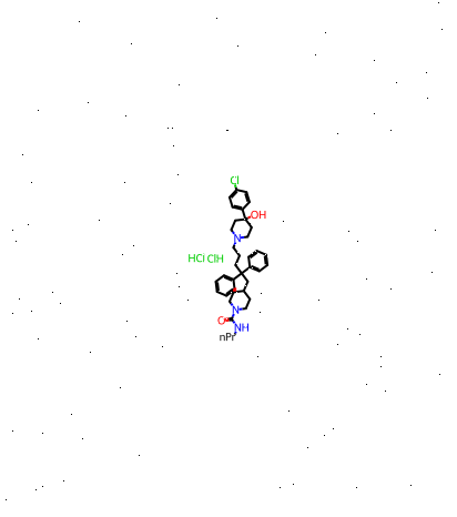 CCCNC(=O)N1CCC(CC(CCCN2CCC(O)(c3ccc(Cl)cc3)CC2)(c2ccccc2)c2ccccc2)CC1.Cl.Cl